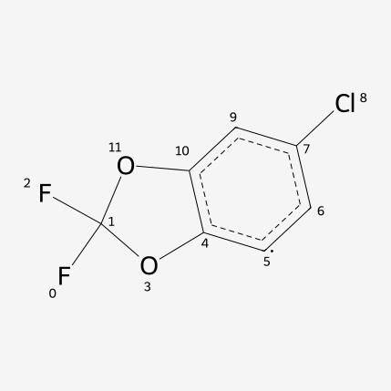 FC1(F)Oc2[c]cc(Cl)cc2O1